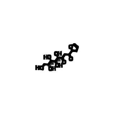 O=C(CC(=O)[C@H](O)[C@@H](O)[C@H](O)[C@H](O)CO)c1ccco1